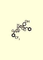 O=C(CNC(=O)c1cccc(C(F)(F)F)c1)NC1CN(C2(C3=C(Cc4ccccc4)OCO3)CCC(O)CC2)C1